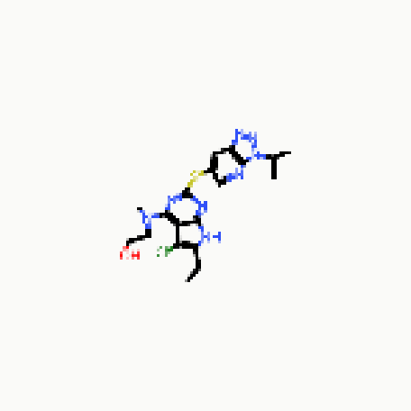 CCc1[nH]c2nc(Sc3cnc4c(c3)nnn4C(C)C)nc(N(C)CCO)c2c1Cl